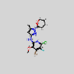 COc1c(Nc2cc(C)n(C3CCCCO3)n2)nc(Cl)c(F)c1Br